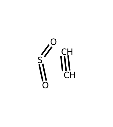 C#C.O=S=O